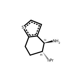 CCC[C@@H]1CCc2sccc2[C@H]1N